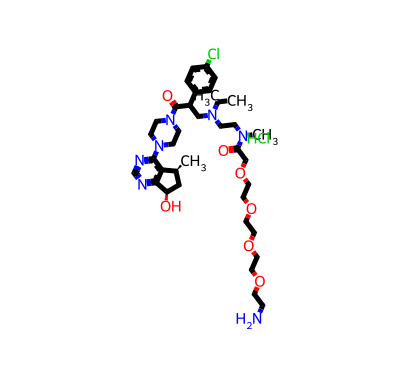 CC(C)N(CCN(C)C(=O)COCCOCCOCCOCCN)CC(C(=O)N1CCN(c2ncnc3c2[C@H](C)C[C@H]3O)CC1)c1ccc(Cl)cc1.Cl